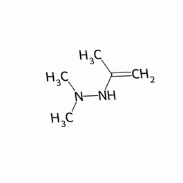 C=C(C)NN(C)C